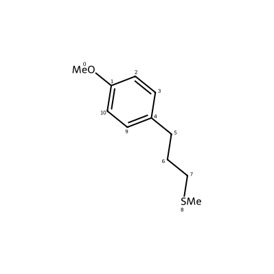 COc1ccc(CCCSC)cc1